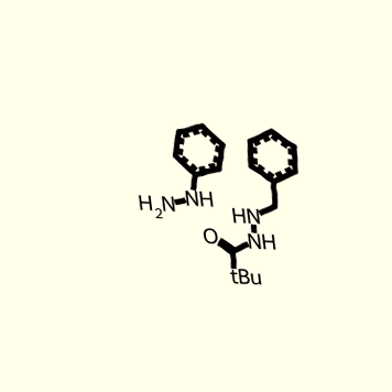 CC(C)(C)C(=O)NNCc1ccccc1.NNc1ccccc1